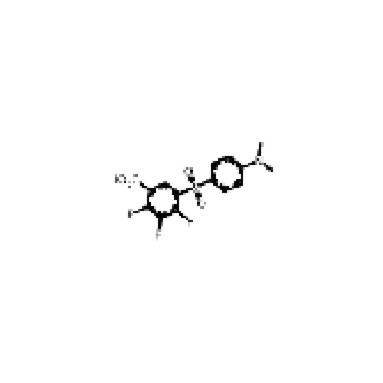 CN(C)c1ccc(S(=O)(=O)c2cc(C(=O)O)c(F)c(F)c2F)cc1